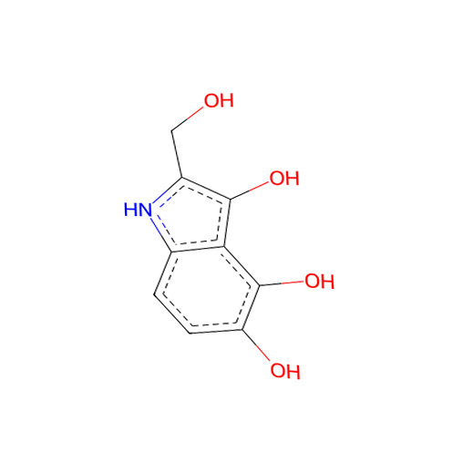 OCc1[nH]c2ccc(O)c(O)c2c1O